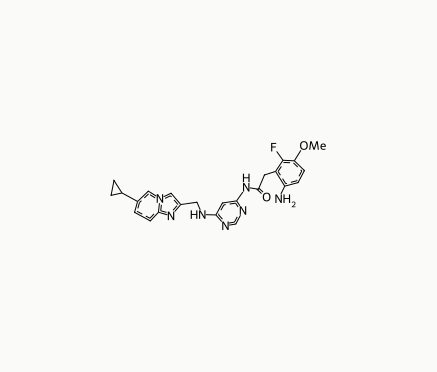 COc1ccc(N)c(CC(=O)Nc2cc(NCc3cn4cc(C5CC5)ccc4n3)ncn2)c1F